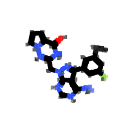 COc1cc(F)cc(-c2nn(Cc3nn4cccc4c(=O)[nH]3)c3ncnc(N)c23)c1